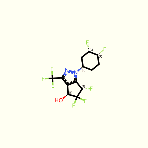 O[C@H]1c2c(C(F)(F)F)nn([C@@H]3CC[C@@H](F)[C@@H](F)C3)c2[C@H](F)C1(F)F